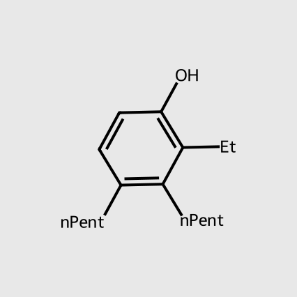 CCCCCc1ccc(O)c(CC)c1CCCCC